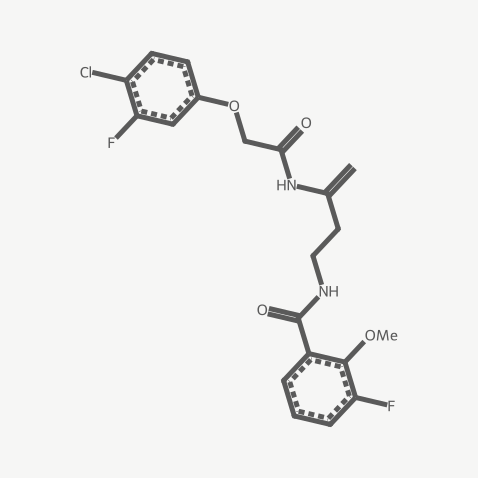 C=C(CCNC(=O)c1cccc(F)c1OC)NC(=O)COc1ccc(Cl)c(F)c1